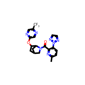 Cc1ccc(-n2nccn2)c(C(=O)N2CC3CC(Oc4cnc(C(F)(F)F)cn4)C2C3)n1